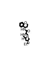 CCOC1C[C@H]2CNC(C(=O)N[C@@H]3CCOc4ccccc43)CN2C1